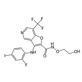 O=C(NOCCO)c1oc2c(C(F)(F)F)cncc2c1Nc1ccc(I)cc1F